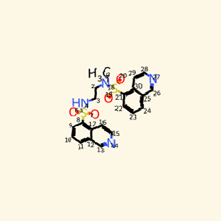 CN(CCNS(=O)(=O)c1cccc2cnccc12)S(=O)(=O)c1cccc2cnccc12